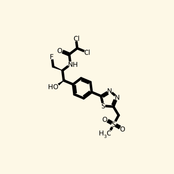 CS(=O)(=O)Cc1nnc(-c2ccc([C@@H](O)[C@@H](CF)NC(=O)C(Cl)Cl)cc2)s1